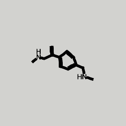 C=C(CNC)c1ccc(CNC)cc1